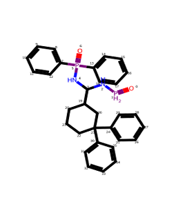 O=[PH2]NC(NP(=O)(c1ccccc1)c1ccccc1)C1CCCC(c2ccccc2)(c2ccccc2)C1